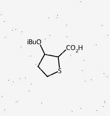 CC(C)COC1CCSC1C(=O)O